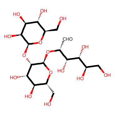 O=C[C@@H](O[C@H]1O[C@H](CO)[C@@H](O)[C@H](O)[C@@H]1O[C@@H]1O[C@H](CO)[C@@H](O)[C@H](O)[C@@H]1O)[C@@H](O)[C@H](O)[C@H](O)CO